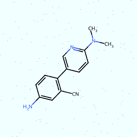 CN(C)c1ccc(-c2ccc(N)cc2C#N)cn1